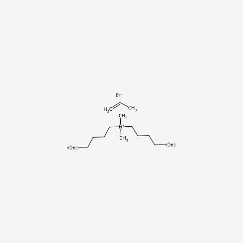 C=CC.CCCCCCCCCCCCCC[N+](C)(C)CCCCCCCCCCCCCC.[Br-]